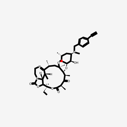 C#Cc1ccc(CN(C)[C@H]2C[C@@H](C)O[C@@H](O[C@@H]3[C@@H](C)C(=O)[C@@H](C)C(=O)O[C@H](CC)[C@@]4(C)OC(=O)N5CCN=C([C@H](C)C[C@@]3(C)OC)[C@H](C)[C@@H]54)[C@@H]2O)cc1